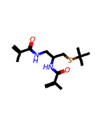 C=C(C)C(=O)NCC(CSC(C)(C)C)NC(=O)C(=C)C